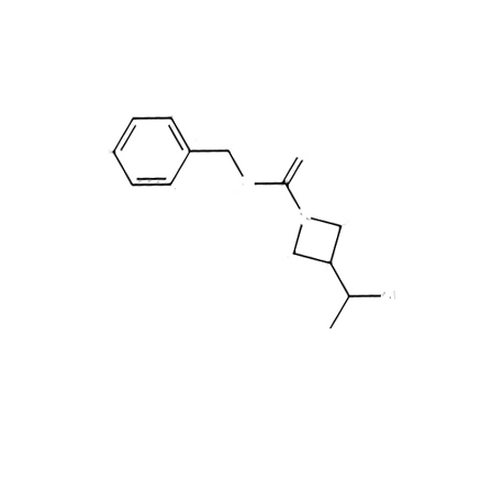 CC(N)C1CN(C(=O)OCc2ccccc2)C1